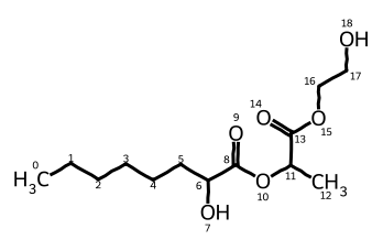 CCCCCCC(O)C(=O)OC(C)C(=O)OCCO